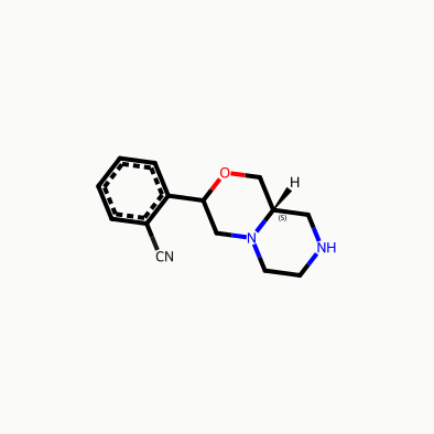 N#Cc1ccccc1C1CN2CCNC[C@H]2CO1